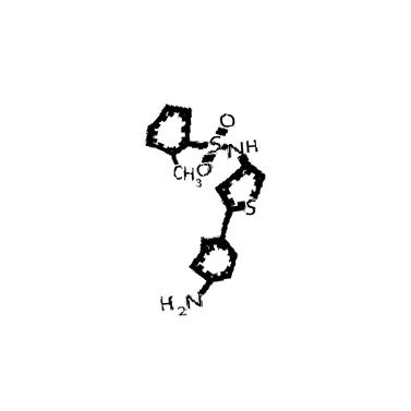 Cc1ccccc1S(=O)(=O)Nc1csc(-c2ccc(N)cc2)c1